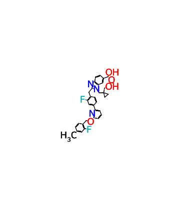 Cc1ccc(COc2cccc(-c3ccc(Cc4nc5ccc(C(=O)O)cc5n4CC4(CO)CC4)c(F)c3)n2)c(F)c1